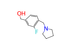 OCc1ccc(CN2CCCC2)c(F)c1